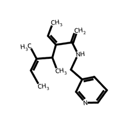 C=C(NCc1cccnc1)/C(=C\C)C(C)/C(C)=C\C